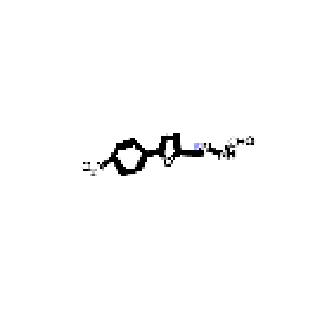 O=CN/N=C/c1ccc(-c2ccc([N+](=O)[O-])cc2)o1